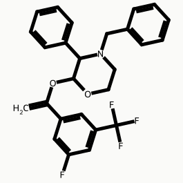 C=C(OC1OCCN(Cc2ccccc2)C1c1ccccc1)c1cc(F)cc(C(F)(F)F)c1